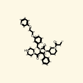 O=C(CI)N1CCCC(n2c(-c3ccccc3)c(C(=O)N3CCNCC3)n(Cc3cccc(OCCOc4cccnc4)c3)c2=O)C1